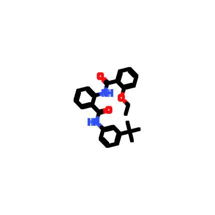 CCOc1ccccc1C(=O)Nc1ccccc1C(=O)Nc1cccc(C(C)(C)C)c1